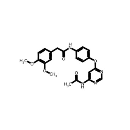 COc1ccc(CC(=O)Nc2ccc(Oc3cc(NC(C)=O)ncn3)cc2)cc1OC